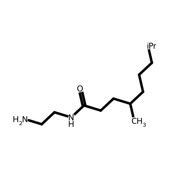 CC(C)CCCC(C)CCC(=O)NCCN